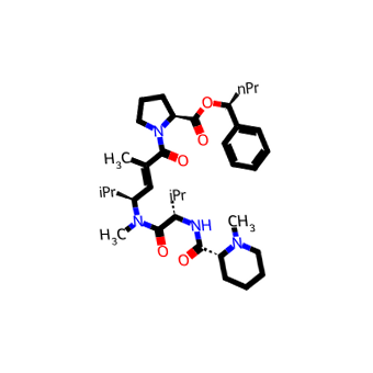 CCC[C@H](OC(=O)[C@@H]1CCCN1C(=O)/C(C)=C/[C@H](C(C)C)N(C)C(=O)[C@@H](NC(=O)[C@H]1CCCCN1C)C(C)C)c1ccccc1